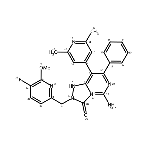 COc1nc(Cn2[nH]c3c(-c4cc(C)nc(C)c4)c(-c4ccccc4)nc(N)[n+]3c2=O)ccc1F